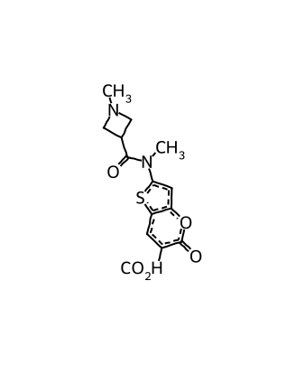 CN1CC(C(=O)N(C)c2cc3oc(=O)c(C(=O)O)cc3s2)C1